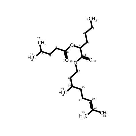 CCCCC(OC(=O)CCC(C)C)C(=O)OCCC(C)CCC=C(C)C